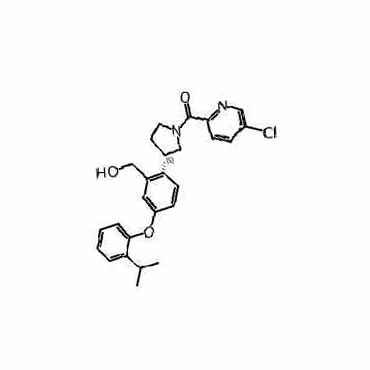 CC(C)c1ccccc1Oc1ccc([C@@H]2CCN(C(=O)c3ccc(Cl)cn3)C2)c(CO)c1